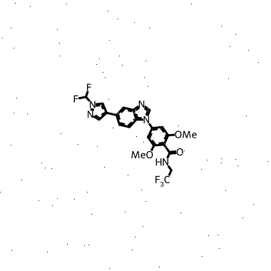 COc1cc(-n2cnc3cc(-c4cnn(C(F)F)c4)ccc32)cc(OC)c1C(=O)NCC(F)(F)F